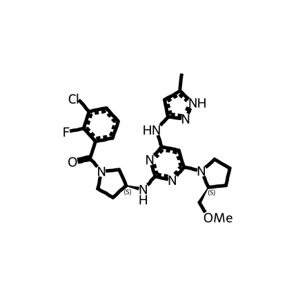 COC[C@@H]1CCCN1c1cc(Nc2cc(C)[nH]n2)nc(N[C@H]2CCN(C(=O)c3cccc(Cl)c3F)C2)n1